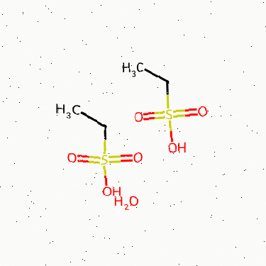 CCS(=O)(=O)O.CCS(=O)(=O)O.O